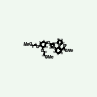 COCCOc1ccc(OC2CN(c3cccc(C(=O)OC)c3-n3cccc3)C2)cc1OCCOC